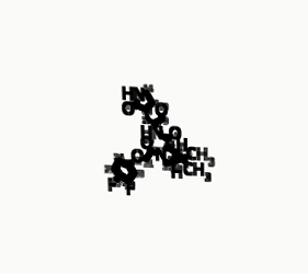 CC1(C)[C@@H]2[C@H](C(=O)N[C@H](C=O)C[C@@H]3CCNC3=O)N(C(=O)COc3ccc(F)c(F)c3)C[C@@H]21